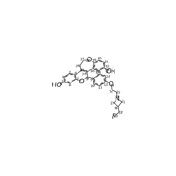 Oc1ccc2c(c1)OC(c1ccc(OCCN3CC(CF)C3)cc1)C1=C2CCOc2ccc(O)cc21